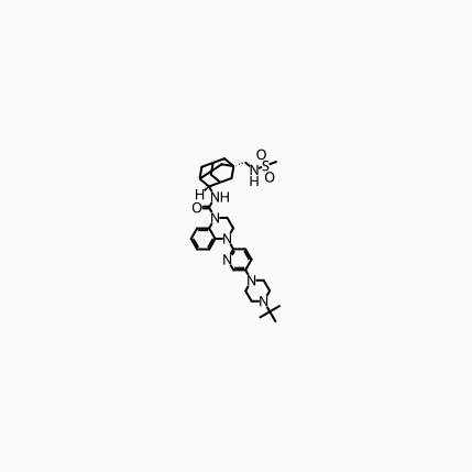 CC(C)(C)N1CCN(c2ccc(N3CCN(C(=O)N[C@H]4C5CC6CC4C[C@@](CNS(C)(=O)=O)(C6)C5)c4ccccc43)nc2)CC1